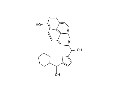 Oc1ccc2ccc3cc(C(O)c4ccc(C(O)C5CCCCC5)s4)cc4ccc1c2c34